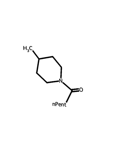 CCCCCC(=O)N1CCC(C)CC1